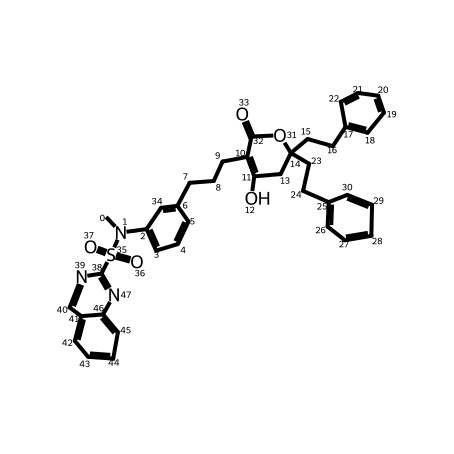 CN(c1cccc(CCCC2=C(O)CC(CCc3ccccc3)(CCc3ccccc3)OC2=O)c1)S(=O)(=O)c1ncc2ccccc2n1